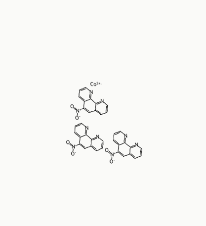 O=[N+]([O-])c1cc2cccnc2c2ncccc12.O=[N+]([O-])c1cc2cccnc2c2ncccc12.O=[N+]([O-])c1cc2cccnc2c2ncccc12.[Co+2]